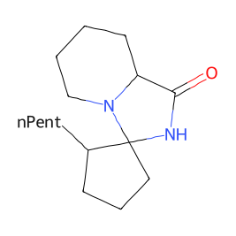 CCCCCC1CCCC12NC(=O)C1CCCCN12